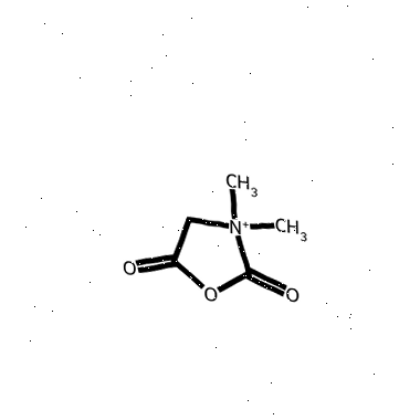 C[N+]1(C)CC(=O)OC1=O